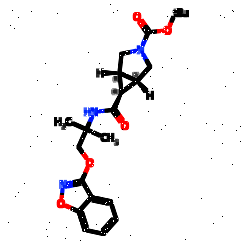 CC(C)(COc1noc2ccccc12)NC(=O)[C@H]1[C@@H]2CN(C(=O)OC(C)(C)C)C[C@@H]21